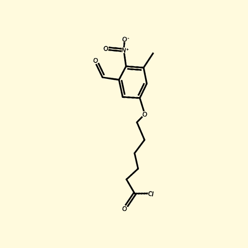 Cc1cc(OCCCCCC(=O)Cl)cc(C=O)c1[N+](=O)[O-]